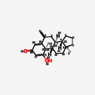 C=C1C[C@H]2[C@@H]3CCC[C@@]3(C)CC[C@@H]2[C@@]2(C)C(O)=CC(=O)C=C12